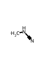 [CH2]NC#N